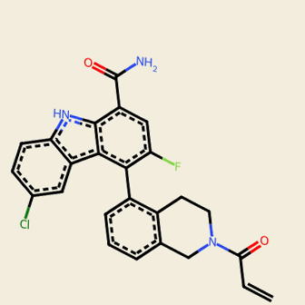 C=CC(=O)N1CCc2c(cccc2-c2c(F)cc(C(N)=O)c3[nH]c4ccc(Cl)cc4c23)C1